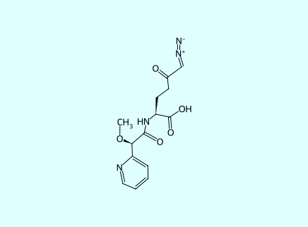 CO[C@@H](C(=O)N[C@@H](CCC(=O)C=[N+]=[N-])C(=O)O)c1ccccn1